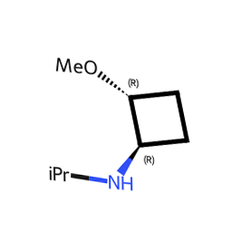 CO[C@@H]1CC[C@H]1NC(C)C